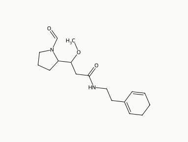 COC(CC(=O)NCCC1=CCCC=C1)C1CCCN1C=O